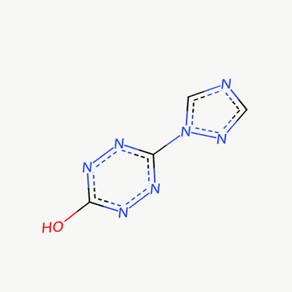 Oc1nnc(-n2cncn2)nn1